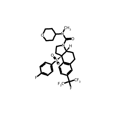 CN(C(=O)N1CC[C@@]2(S(=O)(=O)c3ccc(F)cc3)c3ccc(C(F)(C(F)(F)F)C(F)(F)F)cc3CC[C@@H]12)C1CCOCC1